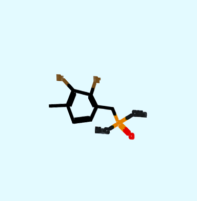 COP(=O)(Cc1ccc(C)c(Br)c1Br)OC